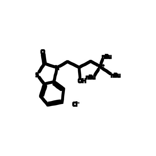 CCCC[N+](CCCC)(CCCC)CC(O)Cn1c(=O)sc2ccccc21.[Cl-]